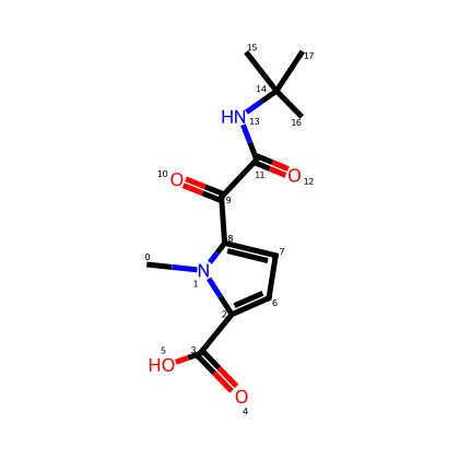 Cn1c(C(=O)O)ccc1C(=O)C(=O)NC(C)(C)C